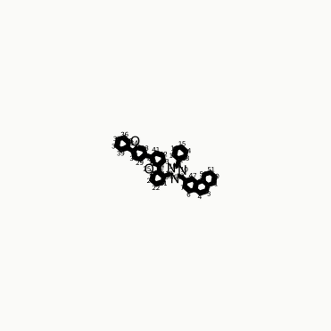 C1=CC2C=Cc3ccc(-c4nc(-c5ccccc5)nc(-c5cccc6oc7c(-c8ccc9c(c8)oc8ccccc89)cccc7c56)n4)cc3C2CC1